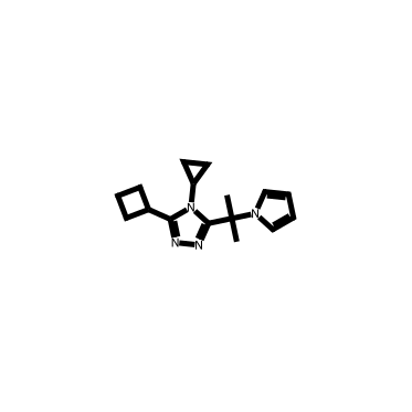 CC(C)(c1nnc(C2CCC2)n1C1CC1)n1cccc1